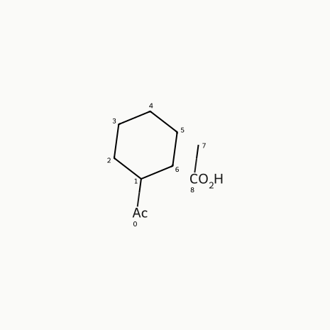 CC(=O)C1CCCCC1.CC(=O)O